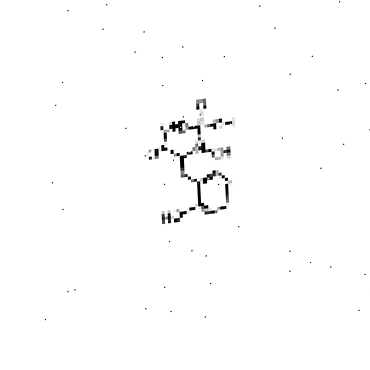 CN(C(Cc1ccccc1O)C(=O)O)P(=O)(O)O